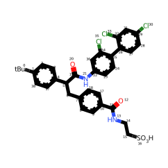 CC(C)(C)c1ccc(C(Cc2ccc(C(=O)NCCS(=O)(=O)O)cc2)C(=O)Nc2ccc(-c3ccc(Cl)cc3Cl)c(Cl)c2)cc1